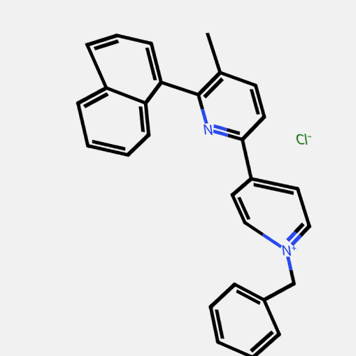 Cc1ccc(-c2cc[n+](Cc3ccccc3)cc2)nc1-c1cccc2ccccc12.[Cl-]